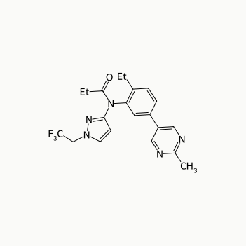 CCC(=O)N(c1ccn(CC(F)(F)F)n1)c1cc(-c2cnc(C)nc2)ccc1CC